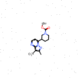 Cc1nn2c(C3CCCN(C(=O)OC(C)(C)C)C3)ccnc2c1[N+](=O)[O-]